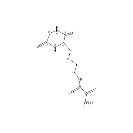 C=C(C(=O)O)C(=O)NCCCCC1NC(=O)CNC1=O